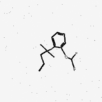 CCCC(C)(C)c1ccccc1OC(F)F